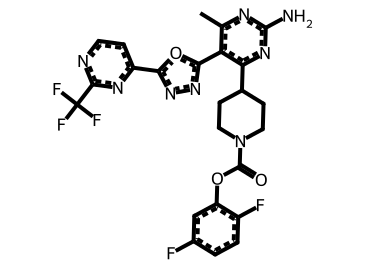 Cc1nc(N)nc(C2CCN(C(=O)Oc3cc(F)ccc3F)CC2)c1-c1nnc(-c2ccnc(C(F)(F)F)n2)o1